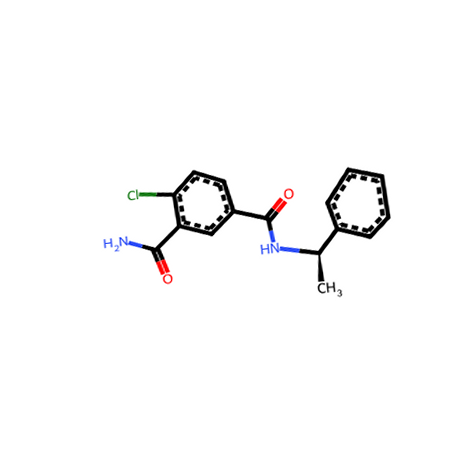 C[C@@H](NC(=O)c1ccc(Cl)c(C(N)=O)c1)c1ccccc1